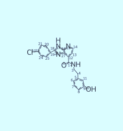 O=C(NCCc1cccc(O)c1)c1ccnc2[nH]c(-c3ccc(Cl)cc3)nc12